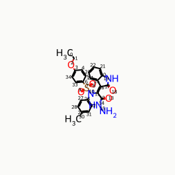 CCOc1ccc(S(=O)(=O)N(C(C(=O)NN)=C2C(=O)Nc3ccccc32)c2ccc(C)cc2)cc1